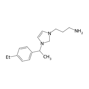 CCc1ccc(C(C)N2C=CN(CCCN)C2)cc1